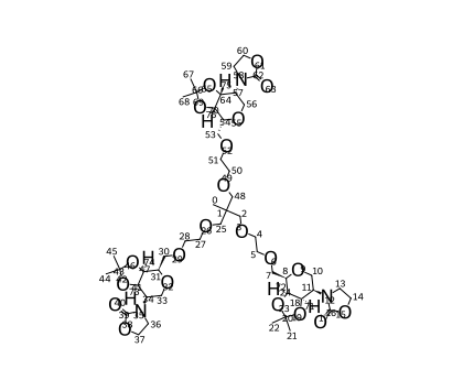 CC(COCCOC[C@H]1OC[C@@H](N2CCOC2=O)[C@H]2OC(C)(C)O[C@H]21)(COCCOC[C@H]1OC[C@@H](N2CCOC2=O)[C@H]2OC(C)(C)O[C@H]21)COCCOC[C@H]1OC[C@@H](N2CCOC2=O)[C@H]2OC(C)(C)O[C@H]21